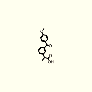 COc1ccc(C(=O)c2cccc(C(C)C(=O)O)c2)cc1